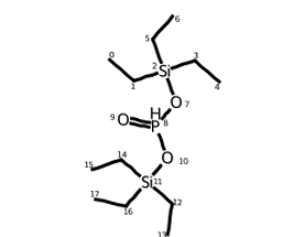 CC[Si](CC)(CC)O[PH](=O)O[Si](CC)(CC)CC